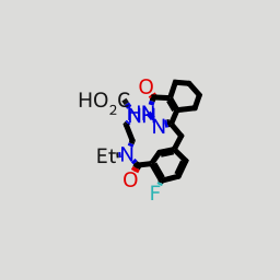 CCN(CCNC(=O)O)C(=O)c1cc(Cc2n[nH]c(=O)c3c2CCCC3)ccc1F